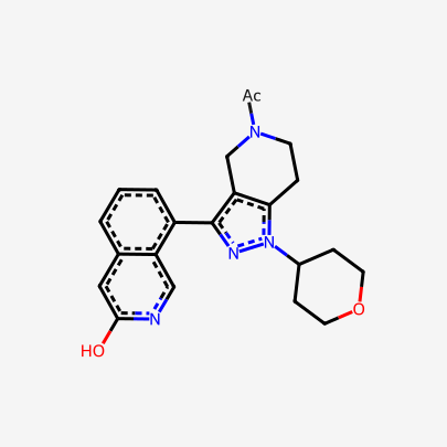 CC(=O)N1CCc2c(c(-c3cccc4cc(O)ncc34)nn2C2CCOCC2)C1